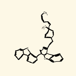 C/C=C\C=C/C1(C)C=CC(CC2=CCC(c3cccc4c3sc3ccccc34)c3oc4ccccc4c32)=CC1